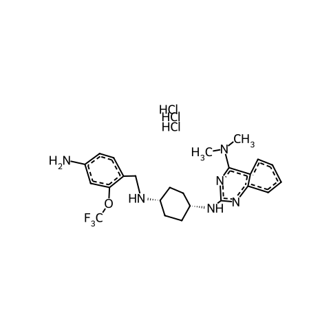 CN(C)c1nc(N[C@H]2CC[C@@H](NCc3ccc(N)cc3OC(F)(F)F)CC2)nc2ccccc12.Cl.Cl.Cl